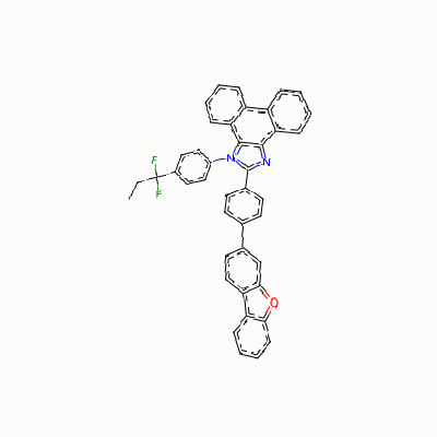 CCC(F)(F)c1ccc(-n2c(-c3ccc(-c4ccc5c(c4)oc4ccccc45)cc3)nc3c4ccccc4c4ccccc4c32)cc1